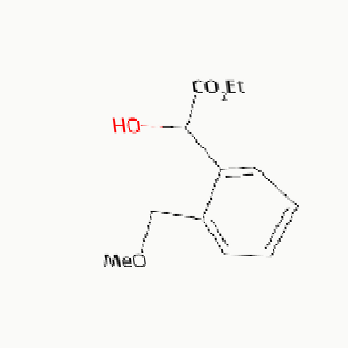 CCOC(=O)C(O)c1ccccc1COC